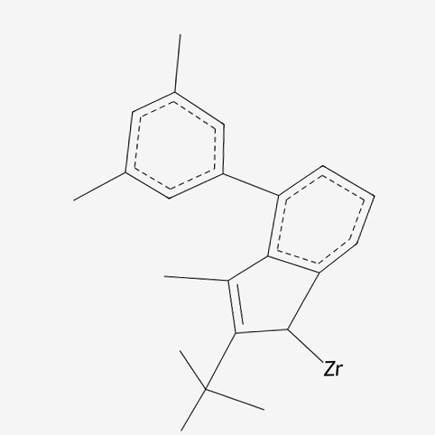 CC1=C(C(C)(C)C)[CH]([Zr])c2cccc(-c3cc(C)cc(C)c3)c21